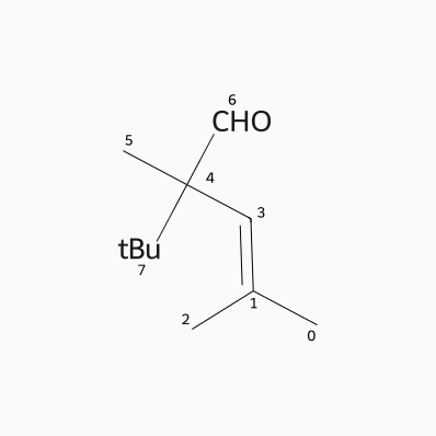 CC(C)=CC(C)(C=O)C(C)(C)C